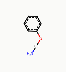 [NH2][Cu][O]c1ccccc1